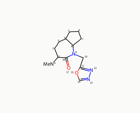 CNC1CCC2CCCC2N(Cc2nnco2)C1=O